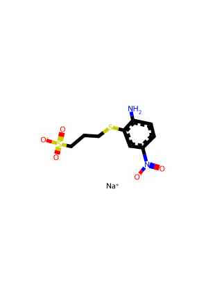 Nc1ccc([N+](=O)[O-])cc1SCCCS(=O)(=O)[O-].[Na+]